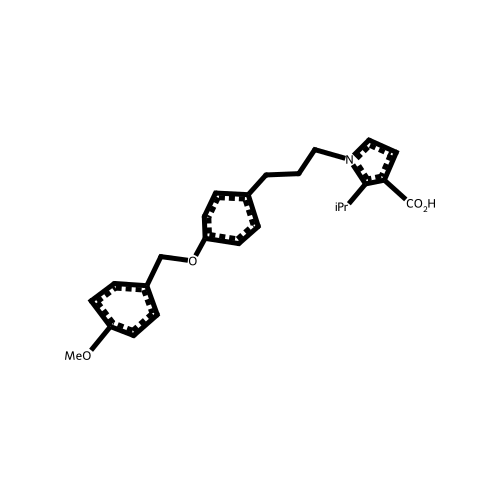 COc1ccc(COc2ccc(CCCn3ccc(C(=O)O)c3C(C)C)cc2)cc1